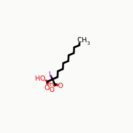 CCCCCCCCCCC(I)(C(=O)O)C(=O)O